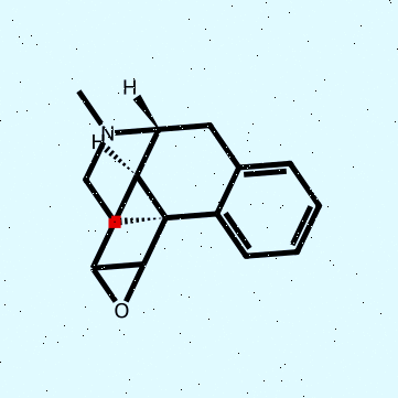 CN1CC[C@@]23c4ccccc4C[C@@H]1[C@@H]2CCC1OC13